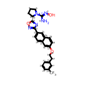 N/C(=N\O)N1CCC[C@H]1c1nc(-c2ccc3cc(OCCc4cccc(C(F)(F)F)c4)ccc3c2)no1